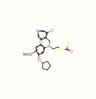 COc1ccc(N(CCSC(=O)S)Cc2c(Cl)cncc2Cl)cc1OC1CCCC1